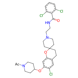 CC(=O)N1CCC(Oc2cc3c(cc2Cl)CCC2(CCN(CCNC(=O)c4c(Cl)cccc4Cl)CC2)O3)CC1